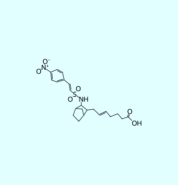 O=C(O)CCC/C=C/CC1C2CCC(C2)C1NS(=O)(=O)/C=C/c1ccc([N+](=O)[O-])cc1